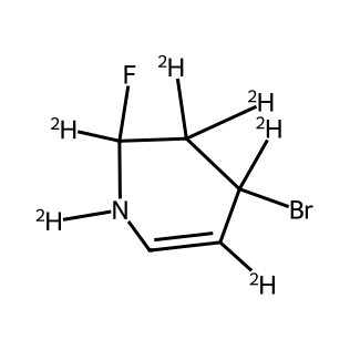 [2H]C1=CN([2H])C([2H])(F)C([2H])([2H])C1([2H])Br